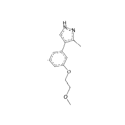 COCCOc1c[c]cc(-c2c[nH]nc2C)c1